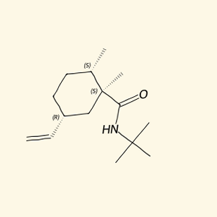 C=C[C@@H]1CC[C@H](C)[C@@](C)(C(=O)NC(C)(C)C)C1